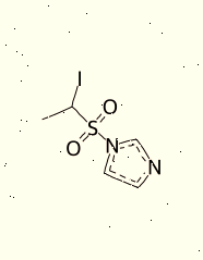 CC(I)S(=O)(=O)n1ccnc1